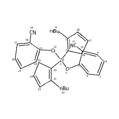 CCCCC1=[C]([Zr]([O]c2ccccc2C#N)([O]c2ccccc2C#N)[C]2=C(CCCC)C=CC2)CC=C1